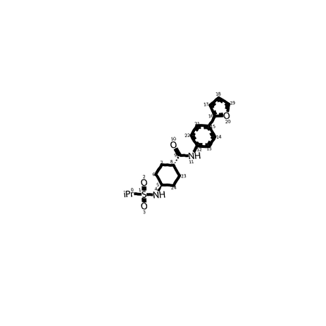 CC(C)S(=O)(=O)N[C@H]1CC[C@H](C(=O)Nc2ccc(-c3ccco3)cc2)CC1